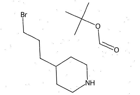 BrCCCC1CCNCC1.CC(C)(C)OC=O